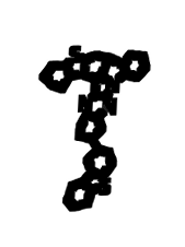 c1ccc2c(c1)sc1ccc(-c3ccc4nc5c6c7c(cc8c9ccccc9n(c5nc4c3)c86)sc3ccccc37)cc12